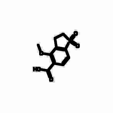 COc1c(C(=O)O)ccc2c1CCS2(=O)=O